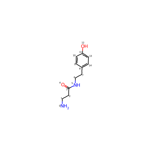 NCCC(=O)NCCc1ccc(O)cc1